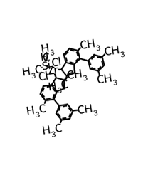 CC1=Cc2c(ccc(C)c2-c2cc(C)cc(C)c2)[CH]1[Zr]([Cl])([Cl])([CH]1C(C)=Cc2c1ccc(C)c2-c1cc(C)cc(C)c1)[SiH](C)C